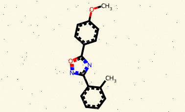 COc1ccc(-c2nc(-c3ccccc3C)no2)cc1